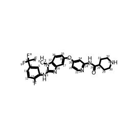 Cn1c(Nc2cc(C(F)(F)F)ccc2F)nc2cc(Oc3ccnc(NC(=O)C4CCNCC4)c3)ccc21